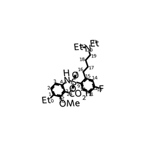 CCc1ccc(NS(=O)(=O)c2ccc(F)cc2CCCCN(CC)CC)c(C(=O)O)c1OC